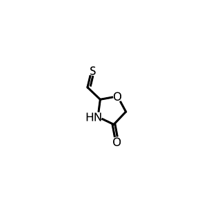 O=C1COC(C=S)N1